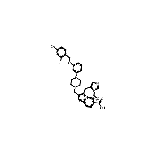 CCn1cncc1Cc1c(CN2CCN(c3cccc(OCc4ccc(Cl)cc4F)n3)CC2)nc2ccc(C(=O)O)cn12